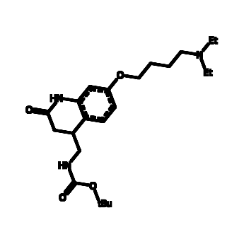 CCN(CC)CCCCOc1ccc2c(c1)NC(=O)CC2CNC(=O)OC(C)(C)C